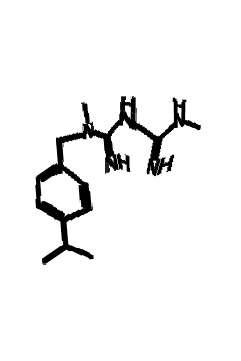 CNC(=N)NC(=N)N(C)Cc1ccc(C(C)C)cc1